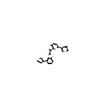 Oc1cncc(-c2ccc3[nH]nc(-c4nc5c(-c6ccoc6)cccc5[nH]4)c3n2)c1